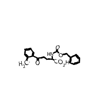 [CH2]c1ccccc1C(=O)CCC(NC(=O)OCc1ccccc1)C(=O)O